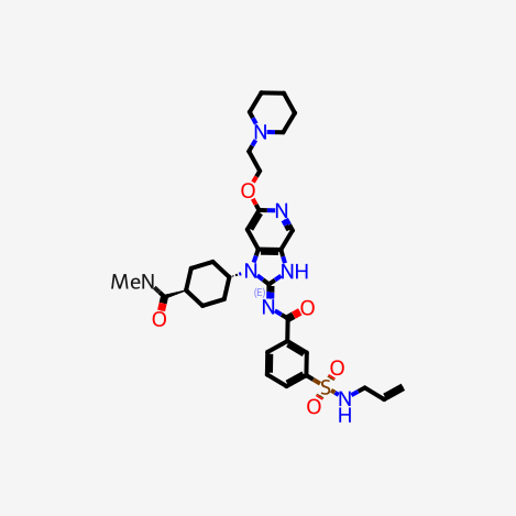 C=CCNS(=O)(=O)c1cccc(C(=O)/N=c2\[nH]c3cnc(OCCN4CCCCC4)cc3n2[C@H]2CC[C@H](C(=O)NC)CC2)c1